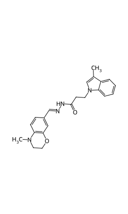 Cc1cn(CCC(=O)NN=Cc2ccc3c(c2)OCCN3C)c2ccccc12